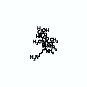 CC(C)[C@H](NC(=O)[C@@H](N)CCCCN)C(=O)N[C@@H](C)C(=O)N[C@@H](C)C(=O)O